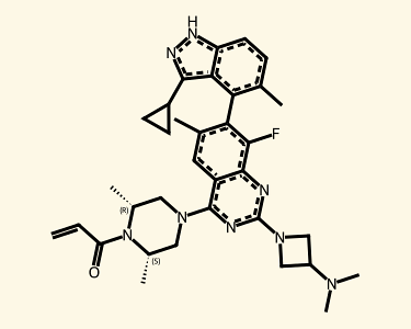 C=CC(=O)N1[C@H](C)CN(c2nc(N3CC(N(C)C)C3)nc3c(F)c(-c4c(C)ccc5[nH]nc(C6CC6)c45)c(C)cc23)C[C@@H]1C